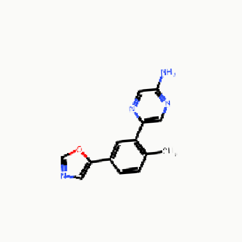 Cc1ccc(-c2cnco2)cc1-c1cnc(N)cn1